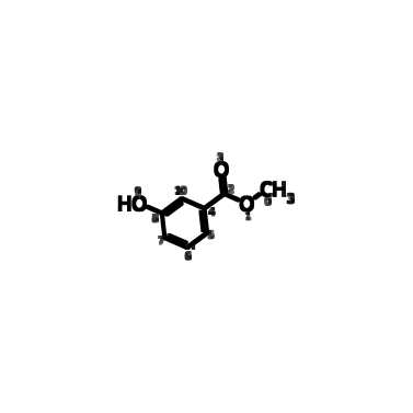 COC(=O)c1c[c]cc(O)c1